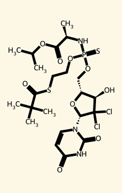 CC(C)OC(=O)[C@@H](C)NP(=S)(OCCSC(=O)C(C)(C)C)OC[C@H]1O[C@@H](n2ccc(=O)[nH]c2=O)C(Cl)(Cl)[C@@H]1O